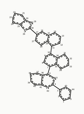 c1ccc(-c2nc(-c3ccc(-c4cccc5cc(-c6nc7ccccc7s6)ccc45)c4ccccc34)c3ccccc3n2)cc1